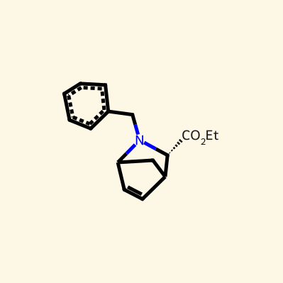 CCOC(=O)[C@@H]1C2C=CC(C2)N1Cc1ccccc1